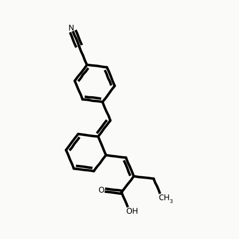 CCC(=CC1C=CC=CC1=Cc1ccc(C#N)cc1)C(=O)O